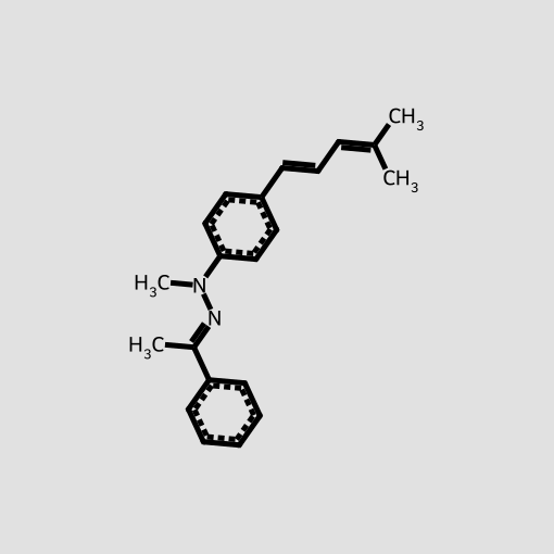 CC(C)=CC=Cc1ccc(N(C)/N=C(\C)c2ccccc2)cc1